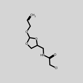 C=CCOC1OCC(CNC(=O)CCl)O1